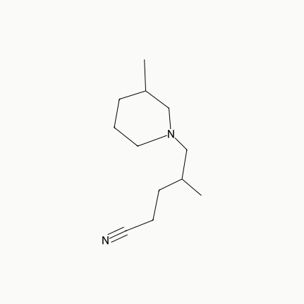 CC(CCC#N)CN1CCCC(C)C1